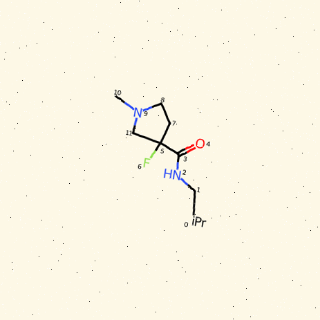 CC(C)CNC(=O)C1(F)CCN(C)C1